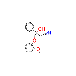 COc1ccccc1OCC(O)(CC#N)c1ccccc1